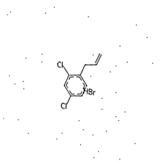 Br.C=CCc1ccc(Cl)cc1Cl